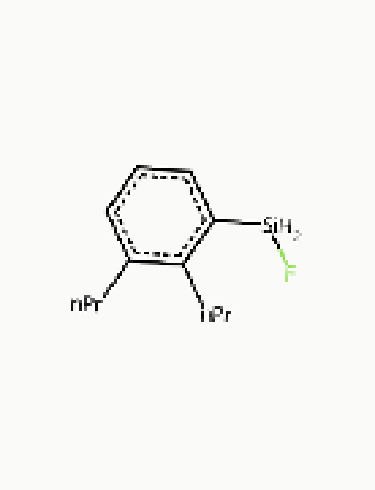 CCCc1cccc([SiH2]F)c1CCC